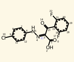 O=C(O)/C(=N/Nc1ccc(Cl)cc1)C(=O)c1c(F)cccc1F